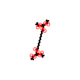 C=C(C)C(=O)OCC(C)(COC(=O)CCCCCCCCCCCCC(=O)OCC(C)(COC(=O)C(=C)C)COC(=O)C(=C)C)COC(=O)C(=C)C